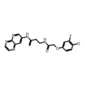 C=C(CCNC(=O)COc1ccc(Cl)c(F)c1)Nc1cnc2nccnc2c1